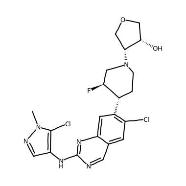 Cn1ncc(Nc2ncc3cc(Cl)c([C@H]4CCN([C@@H]5COC[C@@H]5O)C[C@@H]4F)cc3n2)c1Cl